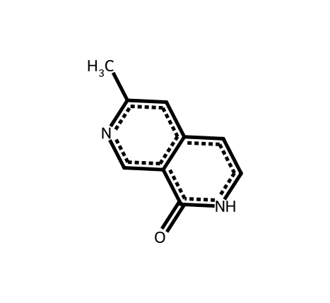 Cc1cc2cc[nH]c(=O)c2cn1